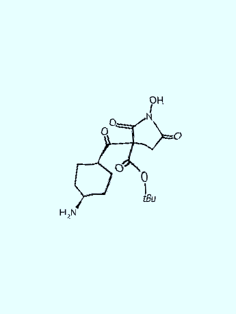 CC(C)(C)OC(=O)C1(C(=O)[C@H]2CC[C@@H](N)CC2)CC(=O)N(O)C1=O